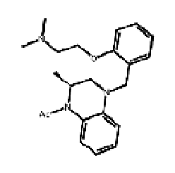 CC(=O)N1c2ccccc2N(Cc2ccccc2OCCN(C)C)C[C@@H]1C